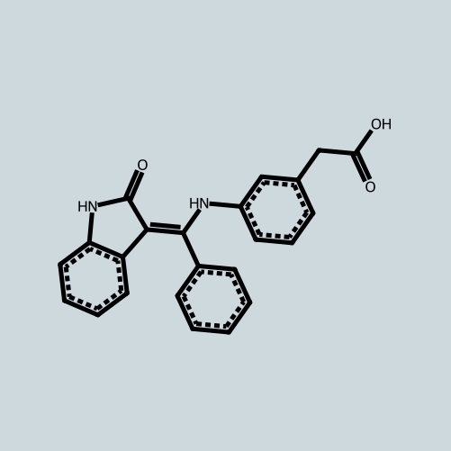 O=C(O)Cc1cccc(N/C(=C2\C(=O)Nc3ccccc32)c2ccccc2)c1